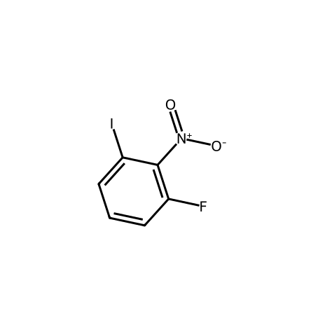 O=[N+]([O-])c1c(F)cccc1I